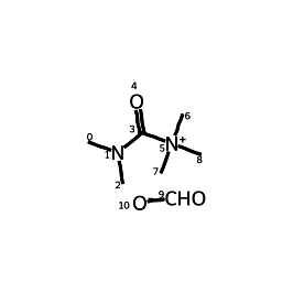 CN(C)C(=O)[N+](C)(C)C.O=C[O-]